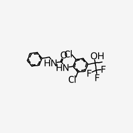 CC(O)(c1cc(Cl)c(NC(=O)NCc2ccccc2)c(Cl)c1)C(F)(F)F